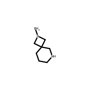 BN1CC2(CCCNC2)C1